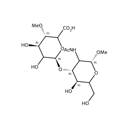 CO[C@@H]1OC(CO)[C@@H](O)[C@H](O[C@@H]2OC(C(=O)O)[C@@H](OC)[C@H](O)C2O)C1NC(C)=O